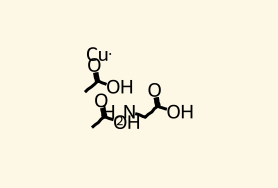 CC(=O)O.CC(=O)O.NCC(=O)O.[Cu]